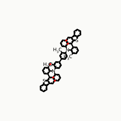 Cc1cc(-c2ccc(N(c3ccccc3)c3c(C)cccc3-c3cccc4c3sc3ccccc34)c(C)c2)ccc1N(c1ccccc1)c1c(C)cccc1-c1cccc2c1sc1ccccc12